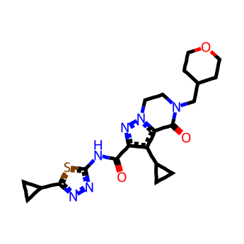 O=C(Nc1nnc(C2CC2)s1)c1nn2c(c1C1CC1)C(=O)N(CC1CCOCC1)CC2